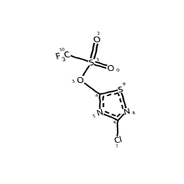 O=S(=O)(Oc1nc(Cl)ns1)C(F)(F)F